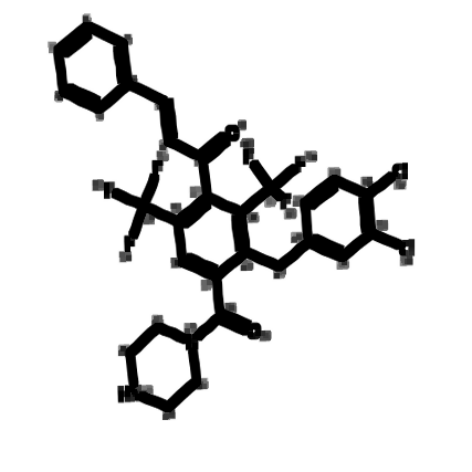 O=C(C=Cc1ccccc1)c1c(C(F)(F)F)cc(C(=O)N2CCNCC2)c(Cc2ccc(Cl)c(Cl)c2)c1C(F)(F)F